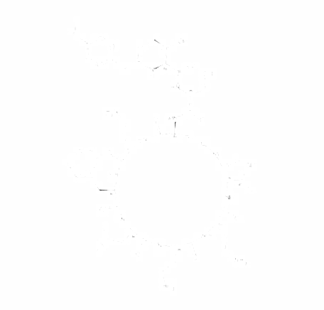 CCc1ccc(CC(=O)N[C@H](C(=O)N[C@H](CO)C(=O)N[C@H]2CCNC(=O)[C@H]([C@@H](C)O)NC(=O)[C@H](CCN)NC(=O)[C@H](CCN)NC(=O)[C@H](CC(C)C)NC(=O)[C@@H](Cc3ccccc3)NC(=O)[C@H](CCN)NC2=O)[C@@H](C)O)cc1